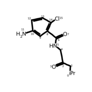 CC(C)CC(=O)CNC(=O)c1cc(N)ccc1Cl